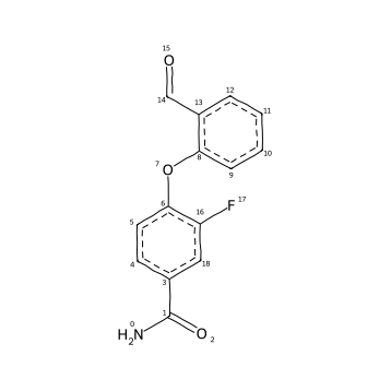 NC(=O)c1ccc(Oc2ccccc2C=O)c(F)c1